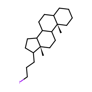 C[C@]12CCCCC1CCC1C2CC[C@]2(C)C(CCCI)CCC12